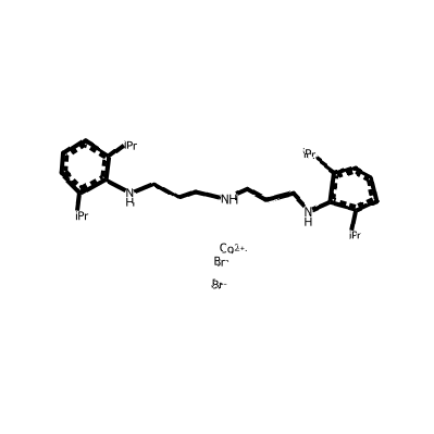 CC(C)c1cccc(C(C)C)c1NCCCNCCCNc1c(C(C)C)cccc1C(C)C.[Br-].[Br-].[Co+2]